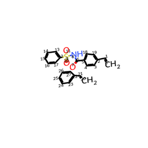 C=Cc1ccc(C(=O)NS(=O)(=O)c2ccccc2)cc1.C=Cc1ccccc1